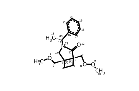 COC[C@]12CC[C@@]1(COOC)C(=O)N([C@H](C)c1ccccc1)C2